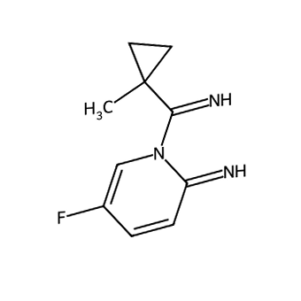 CC1(C(=N)n2cc(F)ccc2=N)CC1